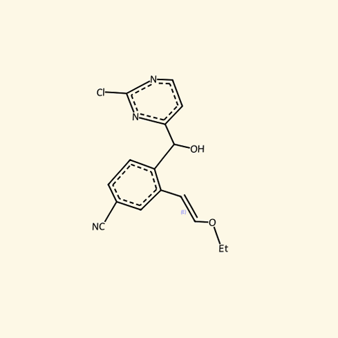 CCO/C=C/c1cc(C#N)ccc1C(O)c1ccnc(Cl)n1